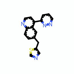 c1cnnc(-c2ccnc3ccc(Cc4cncs4)cc23)c1